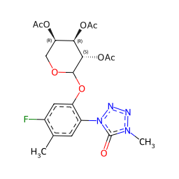 CC(=O)O[C@H]1[C@H](OC(C)=O)C(Oc2cc(F)c(C)cc2-n2nnn(C)c2=O)OC[C@H]1OC(C)=O